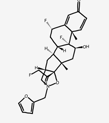 C[C@]12C=CC(=O)C=C1[C@@H](F)C[C@H]1[C@@H]3C[C@H]4CN(Cc5ccco5)O[C@@]4(C(=O)CF)[C@@]3(C)C[C@H](O)[C@@]12F